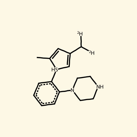 [2H]C([2H])C1=C[SH](c2ccccc2N2CCNCC2)C(C)=C1